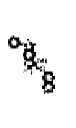 OC(COc1ccc2ccncc2c1)(c1ccc2c(cnn2-c2ccccc2)c1)C(F)(F)F